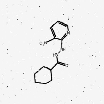 O=C(NNc1ncccc1[N+](=O)[O-])C1CCCCC1